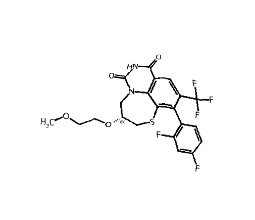 COCCO[C@H]1CSc2c(-c3ccc(F)cc3F)c(C(F)(F)F)cc3c(=O)[nH]c(=O)n(c23)C1